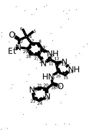 CCN1C(=O)C(C)(C)c2cc3[nH]c(-c4n[nH]cc4NC(=O)c4cnccn4)nc3cc21